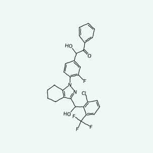 O=C(c1ccccc1)C(O)c1ccc(-n2nc(C(O)c3c(Cl)cccc3C(F)(F)F)c3c2CCCC3)c(F)c1